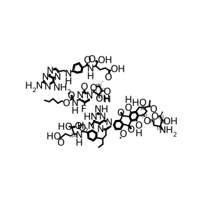 CCC(Cc1cnc2nc(=N)[nH]c(N)c2n1)c1ccc(C(=O)N[C@@H](CCC(=O)O)C(=O)O)cc1.CCCCCOC(=O)Nc1nc(=O)n([C@@H]2O[C@H](C)[C@@H](O)[C@H]2O)cc1F.COc1cccc2c1C(=O)c1c(O)c3c(c(O)c1C2=O)C[C@@](O)(C(C)=O)C[C@@H]3O[C@H]1C[C@H](N)[C@H](O)[C@H](C)O1.Nc1nc(N)c2nc(CNc3ccc(C(=O)NC(CCC(=O)O)C(=O)O)cc3)cnc2n1